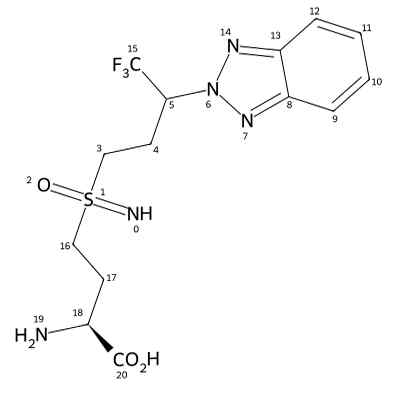 N=S(=O)(CCC(n1nc2ccccc2n1)C(F)(F)F)CC[C@H](N)C(=O)O